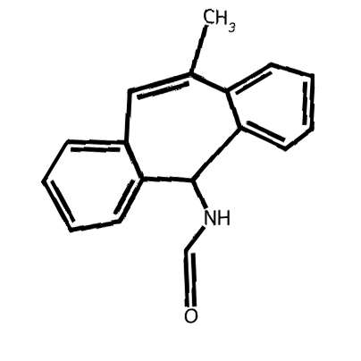 CC1=Cc2ccccc2C(NC=O)c2ccccc21